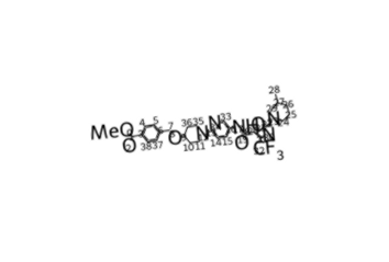 COC(=O)c1ccc(COC2CCN(c3ccc(NC(=O)c4oc(N5CCCC(C)C5)nc4C(F)(F)F)cn3)CC2)cc1